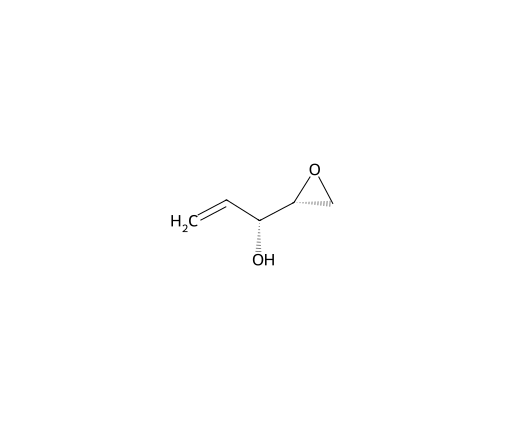 C=C[C@@H](O)[C@H]1CO1